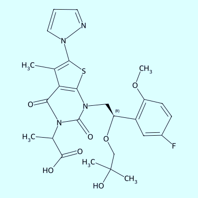 COc1ccc(F)cc1[C@H](Cn1c(=O)n(C(C)C(=O)O)c(=O)c2c(C)c(-n3cccn3)sc21)OCC(C)(C)O